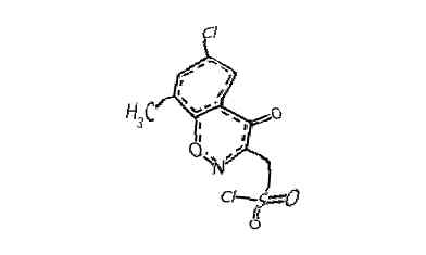 Cc1cc(Cl)cc2c(=O)c(CS(=O)(=O)Cl)noc12